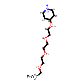 CCOC(=O)COCCOCCOCCOC1CCNCC1